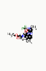 CCOC(=O)CCN1CC(C(=O)Nc2ccc(C)nc2OC(F)F)(c2ccccc2C(C)C)C1